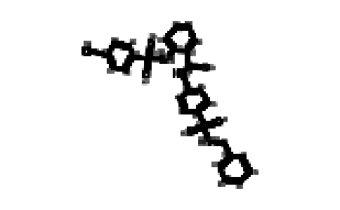 O=C(Nc1ccc(S(=O)(=O)NCc2ccccc2)cc1)c1ccccc1NS(=O)(=O)c1ccc(Cl)cc1